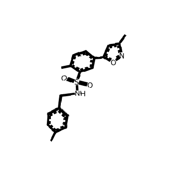 Cc1ccc(CNS(=O)(=O)c2cc(-c3cc(C)no3)ccc2C)cc1